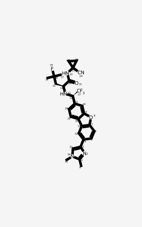 Cc1nc(-c2ccc3oc4cc([C@H](N[C@@H](CC(C)(C)F)C(=O)NC5(C#N)CC5)C(F)(F)F)ccc4c3c2)cn1C